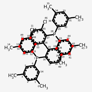 Cc1cc(C)cc(P(c2cc(C)cc(C)c2)c2ccc3ccccc3c2-c2c(P(c3cc(C)cc(C)c3)c3cc(C)cc(C)c3)c(Cl)cc3ccccc23)c1